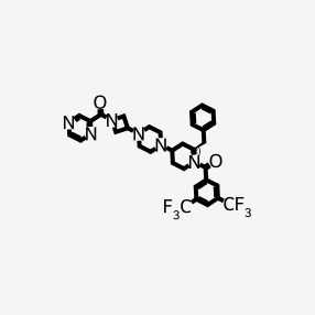 O=C(c1cnccn1)N1CC(N2CCN(C3CCN(C(=O)c4cc(C(F)(F)F)cc(C(F)(F)F)c4)[C@H](Cc4ccccc4)C3)CC2)C1